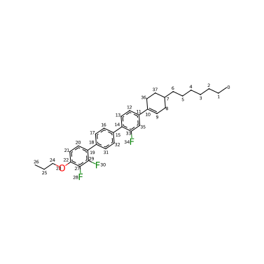 CCCCCCCC1CC=C(c2ccc(-c3ccc(-c4ccc(OCCC)c(F)c4F)cc3)c(F)c2)CC1